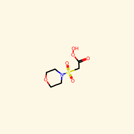 O=C(CS(=O)(=O)N1CCOCC1)OO